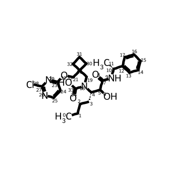 CCCC[C@@H](C(O)C(=O)N[C@H](C)c1ccccc1)N(CC1(COc2ccnc(Cl)n2)CCC1)C(=O)O